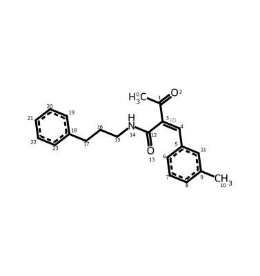 CC(=O)/C(=C/c1cccc(C)c1)C(=O)NCCCc1ccccc1